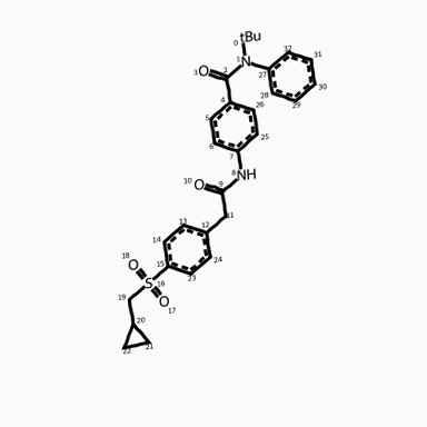 CC(C)(C)N(C(=O)c1ccc(NC(=O)Cc2ccc(S(=O)(=O)CC3CC3)cc2)cc1)c1ccccc1